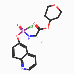 C[C@H](NP(=O)(Cl)Oc1ccc2ncccc2c1)C(=O)OC1CCOCC1